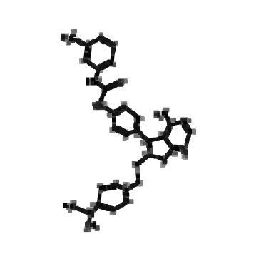 Cc1cccc(NC(=O)Nc2ccc(-c3c(CCc4ccc(N(C)C)cc4)sc4ncnc(N)c34)cc2)c1